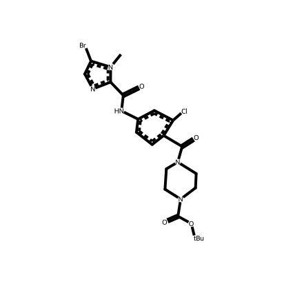 Cn1c(Br)cnc1C(=O)Nc1ccc(C(=O)N2CCN(C(=O)OC(C)(C)C)CC2)c(Cl)c1